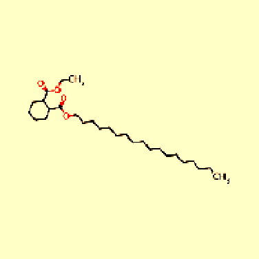 CCCCCCCCCCCCCCCCCCOC(=O)C1CCCCC1C(=O)OCC